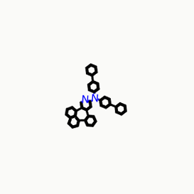 c1ccc(-c2ccc(N(c3ccc(-c4ccccc4)cc3)c3cc4c(cn3)-c3cccc5cccc(c35)-c3ccccc3-4)cc2)cc1